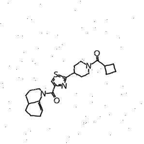 O=C(C1CCC1)N1CCC(c2nc(C(=O)N3CCCC4CCCC=C43)cs2)CC1